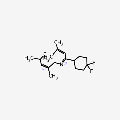 CC(C)=C/C(=N\C/C(C)=C\C(C)C)C1CCC(F)(F)CC1